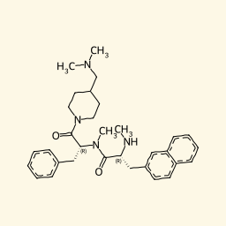 CN[C@H](Cc1ccc2ccccc2c1)C(=O)N(C)[C@H](Cc1ccccc1)C(=O)N1CCC(CN(C)C)CC1